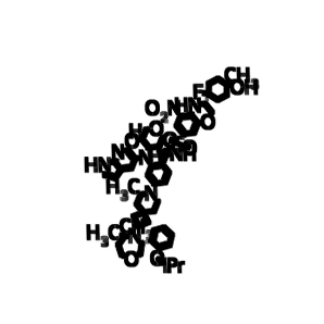 CC(C)Oc1ccccc1[C@@H]1COCCC(C)(C)N1C1CC2(CCN(c3ccc(C(=O)NS(=O)(=O)c4cc5c(c([N+](=O)[O-])c4)N[C@H](C4(F)CCC(C)(O)CC4)CO5)c(N4c5cc6cc[nH]c6nc5O[C@H]5COCC[C@@H]54)c3)[C@@H](C)C2)C1